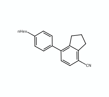 CCCCCCc1ccc(-c2ccc(C#N)c3c2CCC3)cc1